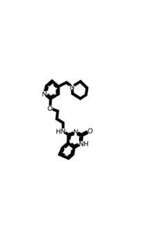 O=c1nc(NCCCOc2cc(CN3CCCCC3)ccn2)c2ccccc2[nH]1